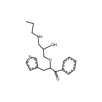 CCCNCC(O)COC(Cc1ccsc1)C(=O)c1ccccc1